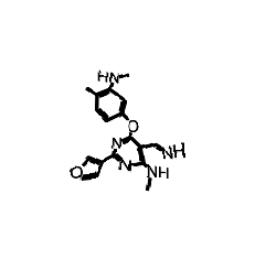 CNc1cc(Oc2nc(-c3ccoc3)nc(NC)c2C=N)ccc1C